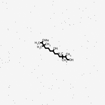 COC(C)C(C)(C)CCCC(O)CCCC(C)(C)C(C)CO